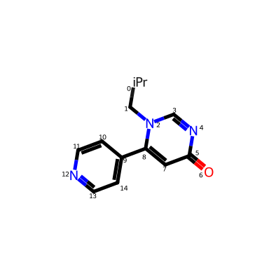 CC(C)Cn1cnc(=O)cc1-c1ccncc1